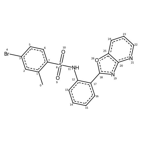 Cc1cc(Br)ccc1S(=O)(=O)Nc1ccccc1-c1nc2ncccc2o1